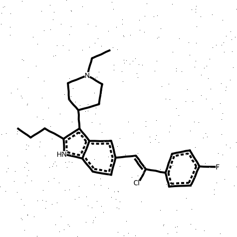 CCCc1[nH]c2ccc(C=C(Cl)c3ccc(F)cc3)cc2c1C1CCN(CC)CC1